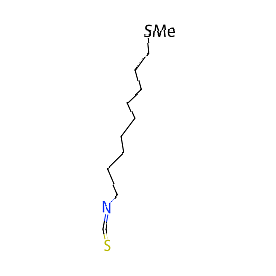 CSCCCCCCCCCN=C=S